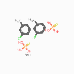 Cc1cccc(Cl)c1.Cc1cccc(Cl)c1.OP(O)(O)=S.OP(O)(O)=S.[NaH]